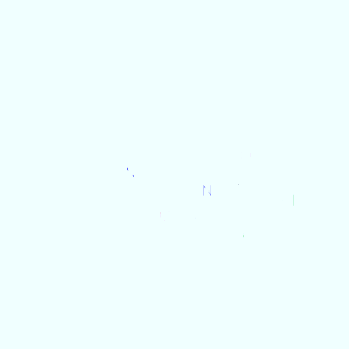 CCCN(CCC)C1OC(C)(C)N(C(=O)C(Cl)Cl)C1C